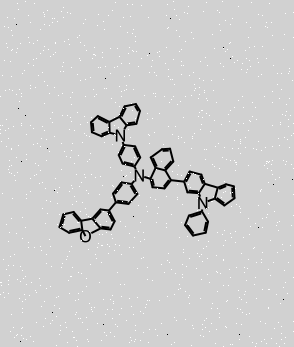 c1ccc(-n2c3ccccc3c3ccc(-c4ccc(N(c5ccc(-c6ccc7oc8ccccc8c7c6)cc5)c5ccc(-n6c7ccccc7c7ccccc76)cc5)c5ccccc45)cc32)cc1